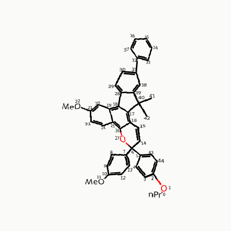 CCCOc1ccc(C2(c3ccc(OC)cc3)C=Cc3c4c(c5cc(OC)ccc5c3O2)-c2ccc(-c3ccccc3)cc2C4(C)C)cc1